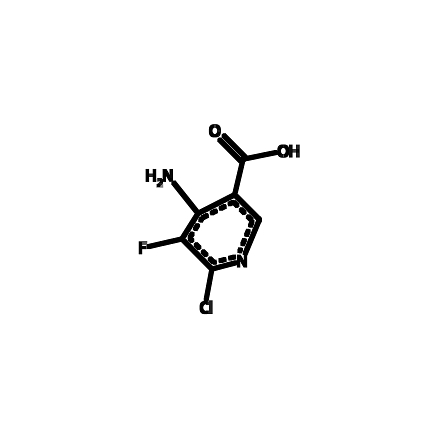 Nc1c(C(=O)O)cnc(Cl)c1F